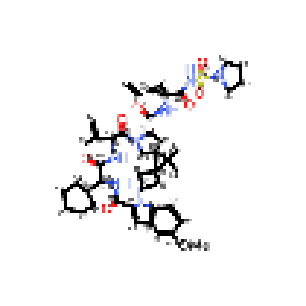 C=C[C@@H]1C[C@]1(NC(=O)[C@@H]1C[C@@]2(CN1C(=O)[C@@H](NC(=O)[C@@H](NC(=O)c1cc3cc(OC)ccc3[nH]1)C1CCCCC1)C(=C)C)C(C)(C)C21CCC1)C(=O)NS(=O)(=O)N1CCCC1